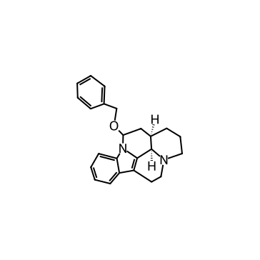 c1ccc(COC2C[C@H]3CCCN4CCc5c(n2c2ccccc52)[C@@H]34)cc1